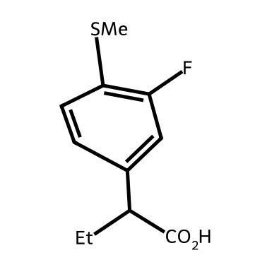 CCC(C(=O)O)c1ccc(SC)c(F)c1